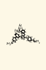 N=C(N)c1cccc(CC(N[S+]([O-])c2cccc(C3CCC(N)=NC3)c2)C(=O)N2CCC(CCN)CC2)c1